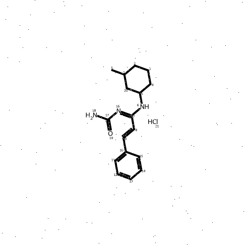 CC1CCCC(NC(C=Cc2ccccc2)=NC(N)=O)C1.Cl